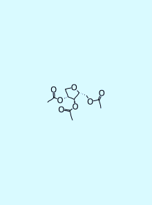 CC(=O)OC[C@H]1OC[C@@H](OC(C)=O)[C@@H]1OC(C)=O